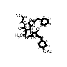 CC(=O)Oc1ccc(C=c2sc3n(c2=O)C(C2=COC(Cc4ccccc4)O2)C(C(=O)OCCC#N)=C(C)N=3)cc1